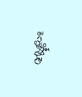 O=C1NC(=O)C(CN2COc3cc(O)ccc3C2)(c2ccc(-c3ccccn3)s2)N1